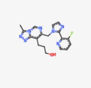 Cc1nnc2c(CCCO)c(Cn3ccnc3-c3ncccc3F)ncn12